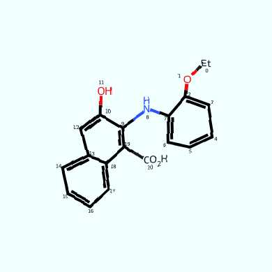 CCOc1ccccc1Nc1c(O)cc2ccccc2c1C(=O)O